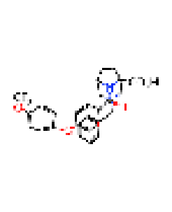 O=C(c1ccc(Oc2ccc(OC(F)(F)F)cc2)cc1)N1C2CCC1(C(=O)O)CN(Cc1ccccc1)C2